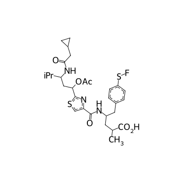 CC(=O)OC(CC(NC(=O)CC1CC1)C(C)C)c1nc(C(=O)NC(Cc2ccc(SF)cc2)CC(C)C(=O)O)cs1